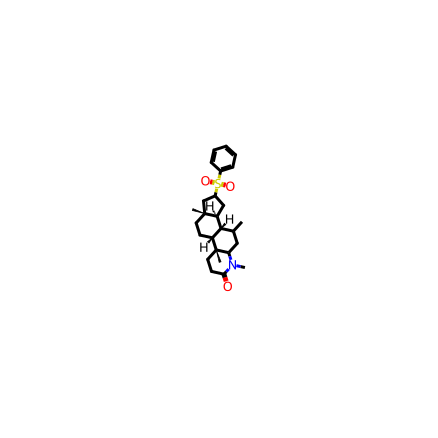 CC1CC2N(C)C(=O)CC[C@]2(C)[C@@H]2CC[C@]3(C)CC(S(=O)(=O)c4ccccc4)C[C@H]3[C@H]12